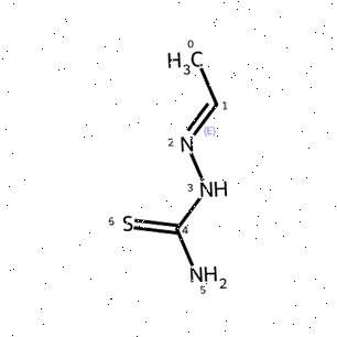 C/C=N/NC(N)=S